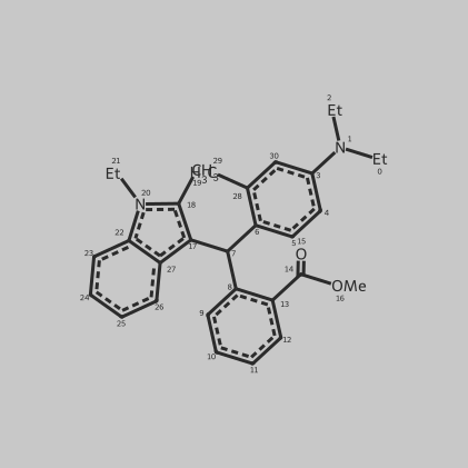 CCN(CC)c1ccc(C(c2ccccc2C(=O)OC)c2c(C)n(CC)c3ccccc23)c(C)c1